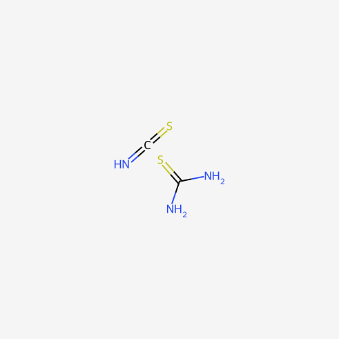 N=C=S.NC(N)=S